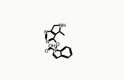 CC1NCc2ncnc(O[N+]3(C(=O)O)C=Cc4ccccc43)c21